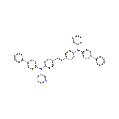 C(=C\c1ccc(N(c2ccc(-c3ccccc3)cc2)c2cccnc2)cc1)/c1ccc(N(c2ccc(-c3ccccc3)cc2)c2cccnc2)cc1